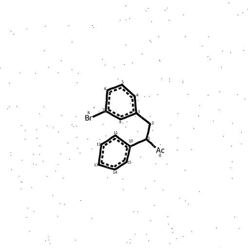 CC(=O)C(Cc1cc[c]c(Br)c1)c1ccccc1